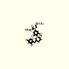 CC(=O)NCCN(C(=O)OC(C)(C)C)c1cc(Cl)c(N2CC(Cc3ccc(F)cc3F)CCC2=O)c(Cl)c1